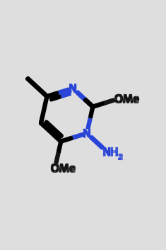 COC1=CC(C)=NC(OC)N1N